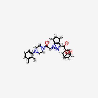 Cc1cccc(N2CCN(C(=O)Cn3nc(C(=O)C4CC5CC(C4)C5O)c4c3CCC4)CC2)c1C